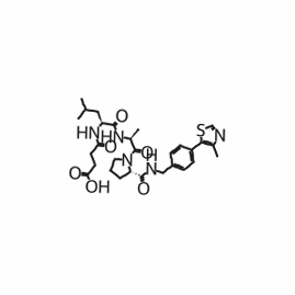 Cc1ncsc1-c1ccc(CNC(=O)[C@@H]2CCCN2C(=O)[C@H](C)NC(=O)[C@H](CC(C)C)NC(=O)CCC(=O)O)cc1